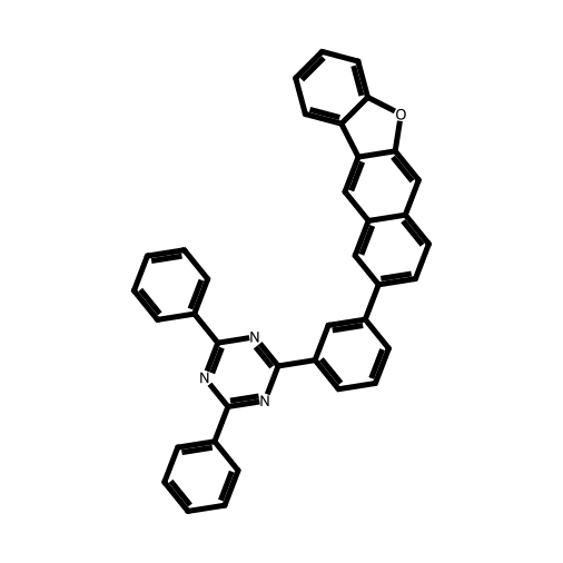 c1ccc(-c2nc(-c3ccccc3)nc(-c3cccc(-c4ccc5cc6oc7ccccc7c6cc5c4)c3)n2)cc1